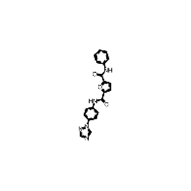 O=C(Nc1ccccc1)c1ccc(C(=O)Nc2ccc(-n3cncn3)cc2)o1